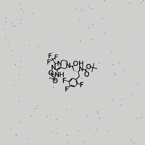 CC(C)(C)OC(=O)N[C@@H](CC(=O)N1CCn2c(C(F)(F)F)nc(NS(C)(=O)=O)c2C1)Cc1cc(F)c(F)cc1F